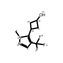 Cn1ncc(C(F)(F)F)c1C1CC(O)C1